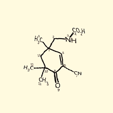 CC1(CNC(=O)O)C=C(C#N)C(=O)C(C)(C)C1